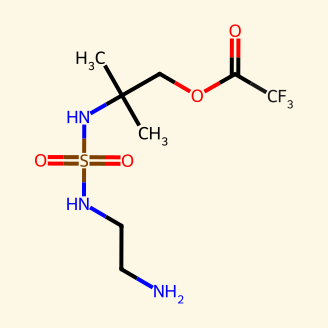 CC(C)(COC(=O)C(F)(F)F)NS(=O)(=O)NCCN